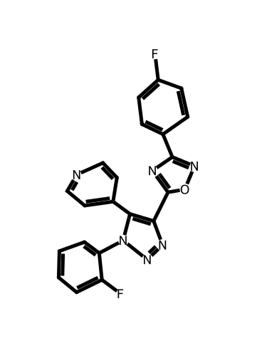 Fc1ccc(-c2noc(-c3nnn(-c4ccccc4F)c3-c3ccncc3)n2)cc1